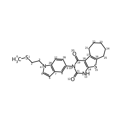 CSCCn1ccc2cc(-n3c(=O)[nH]c4sc5c(c4c3=O)CCCCC5)ccc21